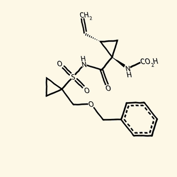 C=C[C@@H]1C[C@]1(NC(=O)O)C(=O)NS(=O)(=O)C1(COCc2ccccc2)CC1